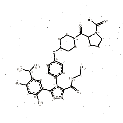 CCNC(=O)c1nnc(-c2cc(C(C)C)c(O)cc2O)n1-c1ccc(OC2CCN(C(=O)C3CCCN3C(=O)O)CC2)cc1